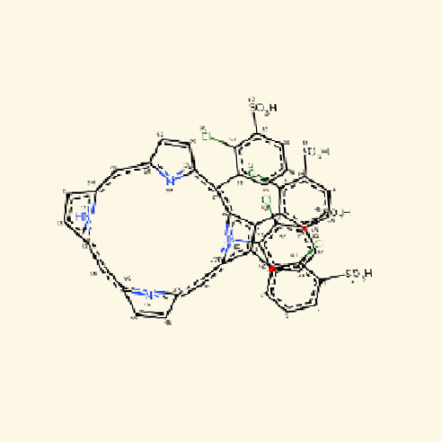 O=S(=O)(O)c1cccc(-c2c(-c3cccc(S(=O)(=O)O)c3Cl)c3c(-c4cccc(S(=O)(=O)O)c4Cl)c4nc(cc5ccc(cc6nc(cc2n3-c2cccc(S(=O)(=O)O)c2Cl)C=C6)[nH]5)C=C4)c1Cl